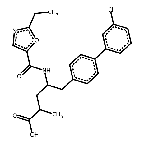 CCc1ncc(C(=O)NC(Cc2ccc(-c3cccc(Cl)c3)cc2)CC(C)C(=O)O)o1